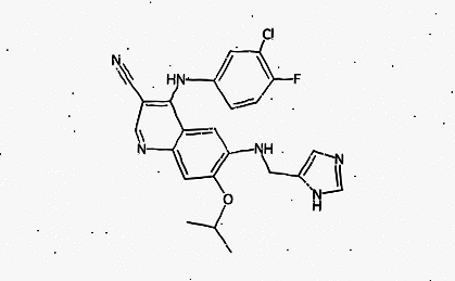 CC(C)Oc1cc2ncc(C#N)c(Nc3ccc(F)c(Cl)c3)c2cc1NCc1cnc[nH]1